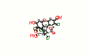 O=C(O)c1cc(Cl)c2c(c1Cl)C1(OC2=O)c2cc(Cl)c(O)cc2Oc2cc(O)c(Cl)cc21